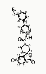 O=C1O[C@]2(CC[C@@H](C(=O)Nc3ncc(-c4cccc(CF)c4)cn3)CC2)c2c[n+]([O-])ccc21